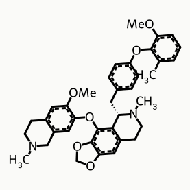 COc1cc2c(cc1Oc1c3c(cc4c1[C@H](Cc1ccc(Oc5c(C)cccc5OC)cc1)N(C)CC4)OCO3)CN(C)CC2